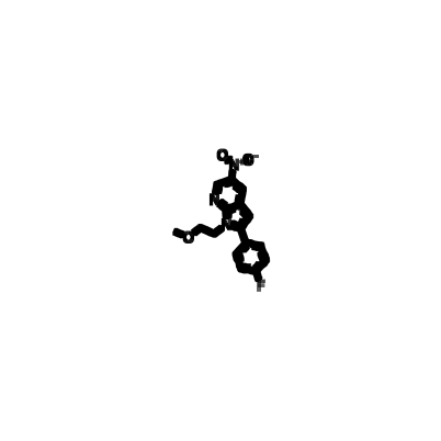 COCCn1c(-c2ccc(F)cc2)cc2cc([N+](=O)[O-])cnc21